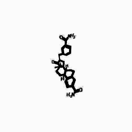 C[C@]12CC[C@@H]3c4ccc(C(N)=O)cc4CC[C@H]3[C@@H]1C[C@H](Cc1cccc(C(N)=O)c1)C2=O